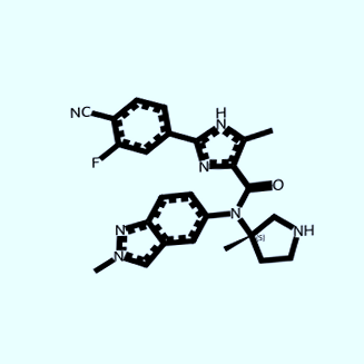 Cc1[nH]c(-c2ccc(C#N)c(F)c2)nc1C(=O)N(c1ccc2nn(C)cc2c1)[C@@]1(C)CCNC1